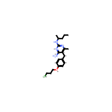 CCCC(C)Nc1nc(C)c(Cc2ccc(OCCCCl)cc2)c(N)n1